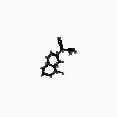 Cc1c[c]cc2ccc(C(N)=O)nc12